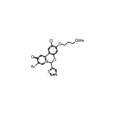 COCCCOc1cc2c(cc1Cl)-c1cc(=O)c(C(C)=O)cn1C(c1cncs1)O2